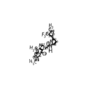 Cc1nc(Cn2c(=O)c3c(ncn3CC(=O)Nc3cccc(-c4cnc(C)c(C(F)(F)F)c4)n3)n(C)c2=O)no1